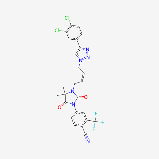 CC1(C)C(=O)N(c2ccc(C#N)c(C(F)(F)F)c2)C(=O)N1C/C=C\Cn1cc(-c2ccc(Cl)c(Cl)c2)nn1